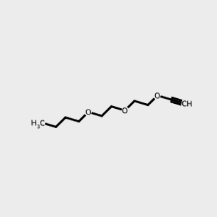 C#COCCOCCOCCCC